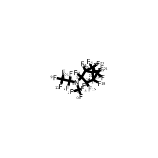 FC(F)(F)N(C(F)(F)C(F)(F)F)C1(F)C(F)(F)C2(F)C(F)(F)C(F)(F)C1(F)C2(F)F